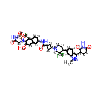 Cn1nc(C2CCC(=O)NC2=O)c2ccc(C3CCN(C4CC(C(=O)Nc5ccc6c(F)c(N7CC(=O)NS7(=O)=O)c(O)cc6c5)C4)CC3(F)F)cc21